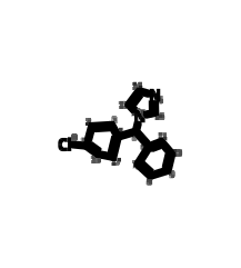 Clc1ccc(C(c2[c]cccc2)n2ccnc2)cc1